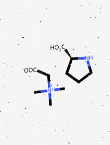 C[N+](C)(C)CC(=O)[O-].O=C(O)[C@@H]1CCCN1